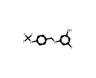 Oc1cc(F)cc(OCc2ccc(OC(F)(F)F)cc2)c1